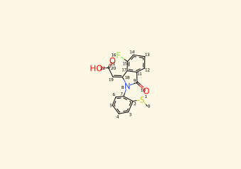 CSc1ccccc1N1C(=O)c2cccc(F)c2C1=CC(=O)O